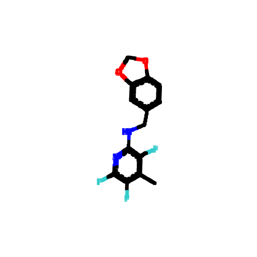 Cc1c(F)c(F)nc(NCc2ccc3c(c2)OCO3)c1F